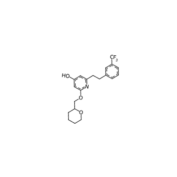 Oc1cc(CCc2cccc(C(F)(F)F)c2)nc(OCC2CCCCO2)c1